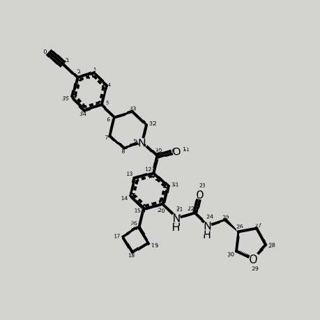 C#Cc1ccc(C2CCN(C(=O)c3ccc(C4CCC4)c(NC(=O)NC[C@H]4CCOC4)c3)CC2)cc1